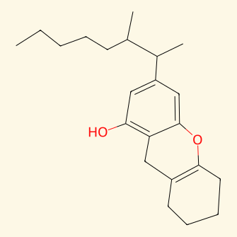 CCCCCC(C)C(C)c1cc(O)c2c(c1)OC1=C(CCCC1)C2